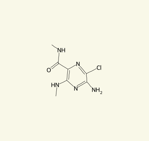 CNC(=O)c1nc(Cl)c(N)nc1NC